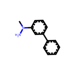 CN(N)c1cccc(-c2ccccc2)c1